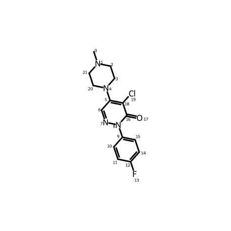 CN1CCN(c2cnn(-c3ccc(F)cc3)c(=O)c2Cl)CC1